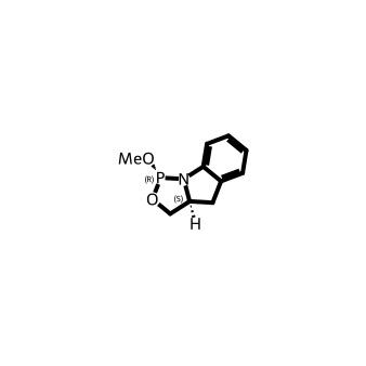 CO[P@@]1OC[C@@H]2Cc3ccccc3N21